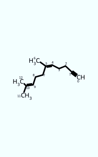 C#CCCC=C(C)CCC=C(C)C